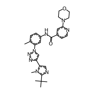 Cc1ccc(NC(=O)c2ccnc(N3CCOCC3)c2)cc1-n1cc(-c2cnc(C(C)(C)C)n2C)nn1